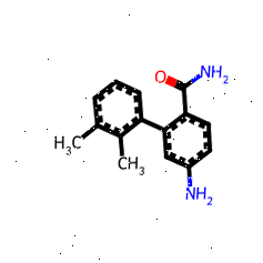 Cc1cccc(-c2cc(N)ccc2C(N)=O)c1C